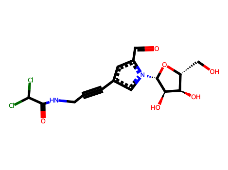 O=Cc1cc(C#CCNC(=O)C(Cl)Cl)cn1[C@@H]1O[C@H](CO)[C@@H](O)[C@H]1O